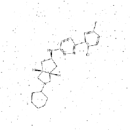 Fc1ccc(Cl)c(-c2ccc(N[C@H]3C[C@@H]4CN(C5CCCCC5)C[C@@H]4C3)nn2)c1